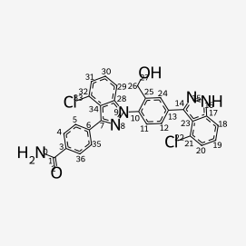 NC(=O)c1ccc(-c2nn(-c3ccc(-c4n[nH]c5cccc(Cl)c45)cc3CO)c3cccc(Cl)c23)cc1